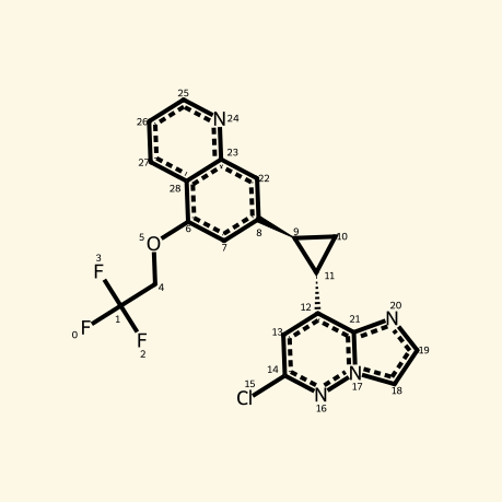 FC(F)(F)COc1cc([C@H]2C[C@@H]2c2cc(Cl)nn3ccnc23)cc2ncccc12